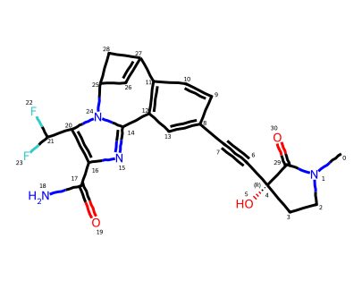 CN1CC[C@@](O)(C#Cc2ccc3c(c2)-c2nc(C(N)=O)c(C(F)F)n2C2C=C3C2)C1=O